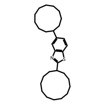 c1cc2sc(C3CCCCCCCCCCC3)nc2cc1C1CCCCCCCCCC1